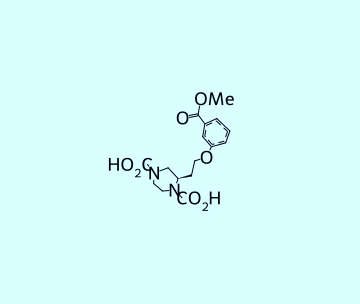 COC(=O)c1cccc(OCC[C@@H]2CN(C(=O)O)CCN2C(=O)O)c1